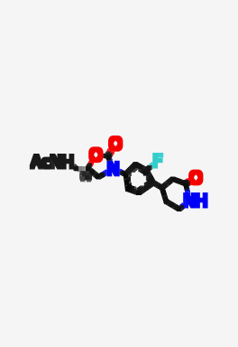 CC(=O)NC[C@H]1CN(c2ccc(C3CCNC(=O)C3)c(F)c2)C(=O)O1